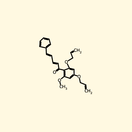 C=CCOc1cc(OC)c(C(=O)/C=C/C=C/c2ccccc2)c(OCC=C)c1